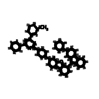 CC1C=C(c2nc(-c3ccccc3)nc(-c3ccc(-c4ccc5c(c4)oc4c(-n6c7ccccc7c7ccc(-c8ccccc8)cc76)cccc45)cc3)n2)C=CC1